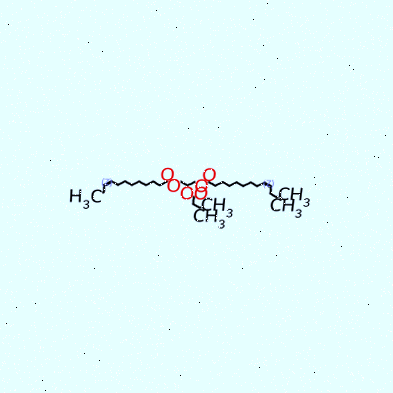 CC/C=C\CCCCCCCC(=O)OCC(COC(=O)CCCCCCC/C=C\CC(C)C)OC(=O)CC(C)C